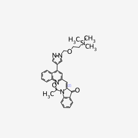 CC(=O)N1/C(=C\c2cc(-c3cnn(COCC[Si](C)(C)C)c3)c3ccccc3n2)C(=O)c2ccccc21